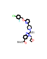 CC[C@H](c1nc2ccc(C(=O)OC)cc2n1C[C@@H]1CCO1)N1CCC(c2cccc(OCc3ccc(Cl)cc3F)n2)CC1